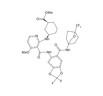 COC(=O)[C@H]1CCC[C@@H](Nc2nccc(OC)c2C(=O)Nc2cc3c(cc2C(=O)NC24CCC(C(F)(F)F)(CC2)OC4)OC(F)(F)O3)C1